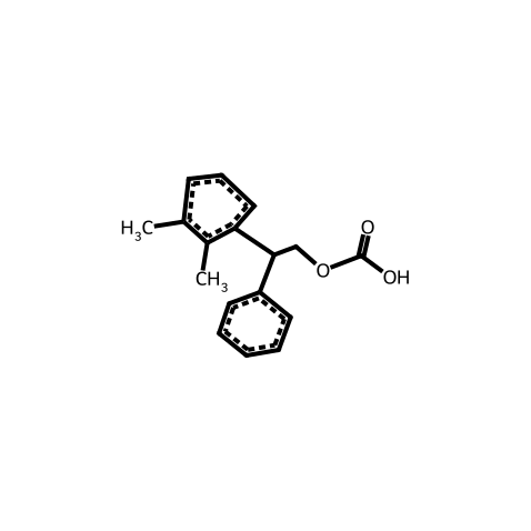 Cc1cccc(C(COC(=O)O)c2ccccc2)c1C